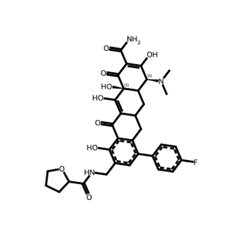 CN(C)[C@@H]1C(O)=C(C(N)=O)C(=O)[C@@]2(O)C(O)=C3C(=O)c4c(O)c(CNC(=O)C5CCCO5)cc(-c5ccc(F)cc5)c4CC3CC12